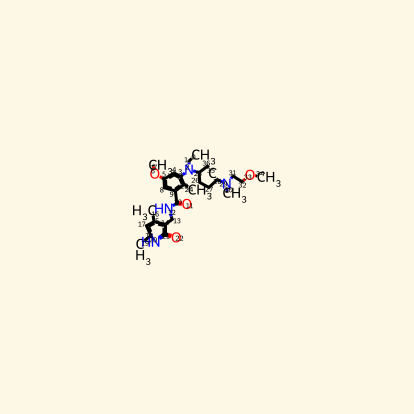 CCN(c1cc(OC)cc(C(=O)NCc2c(C)cc(C)[nH]c2=O)c1C)C1CCC(N(C)CCOC)CC1